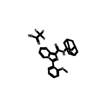 COc1ccccc1-c1nc(C(=O)NC23CC4CC(CC(C4)C2)C3)c2ccccn12.O=C(O)C(F)(F)F